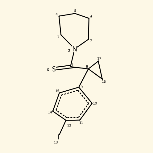 S=C(N1CCCCC1)C1(c2ccc(I)cc2)CC1